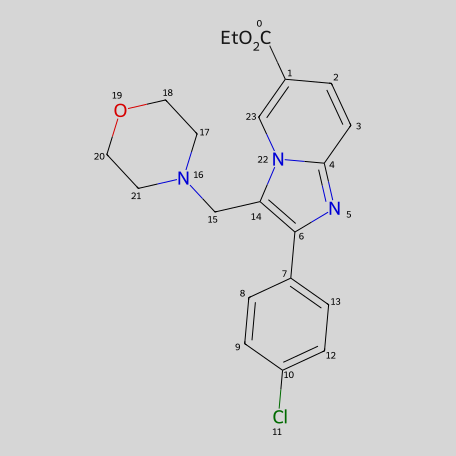 CCOC(=O)c1ccc2nc(-c3ccc(Cl)cc3)c(CN3CCOCC3)n2c1